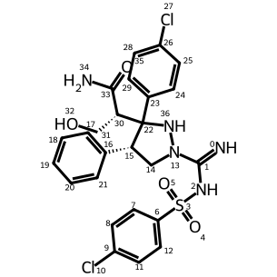 N=C(NS(=O)(=O)c1ccc(Cl)cc1)N1C[C@H](c2ccccc2)C(c2ccc(Cl)cc2)([C@H](CO)C(N)=O)N1